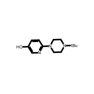 CC(C)(C)N1CCN(c2ccc(O)cn2)CC1